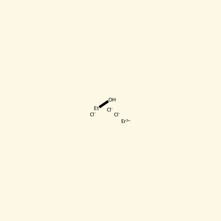 CCO.[Cl-].[Cl-].[Cl-].[Er+3]